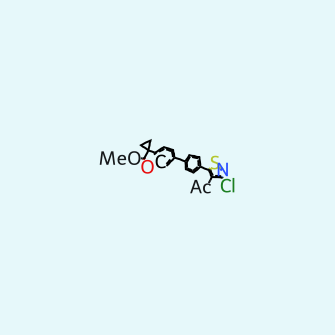 COC(=O)C1(c2ccc(-c3ccc(-c4snc(Cl)c4C(C)=O)cc3)cc2)CC1